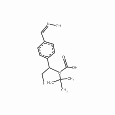 CC(C)(C)N(C(=O)O)C(CF)c1ccc(/C=N\O)cc1